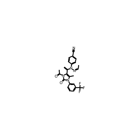 C=C(c1c(C)n(-c2cccc(C(F)(F)F)c2)c(=O)n1C(C)=O)N(/N=C\C)c1ccc(C#N)cc1